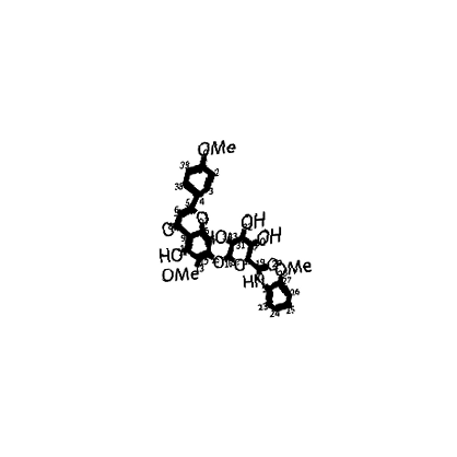 COc1ccc(-c2cc(=O)c3c(O)c(OC)c(OC4OC(C(=O)Nc5ccccc5OC)C(O)C(O)C4O)cc3o2)cc1